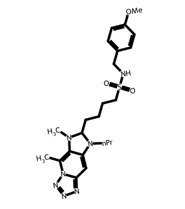 CCCN1c2cc3nnnn3c(C)c2N(C)C1CCCCS(=O)(=O)NCc1ccc(OC)cc1